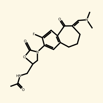 CC(=O)NCC1CN(c2cc3c(cc2F)C(=O)C(=CN(C)C)CCC3)C(=O)O1